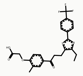 CCc1nc(-c2ccc(C(F)(F)F)cc2)sc1CCC(=O)c1ccc(OCC(=O)O)c(C)c1